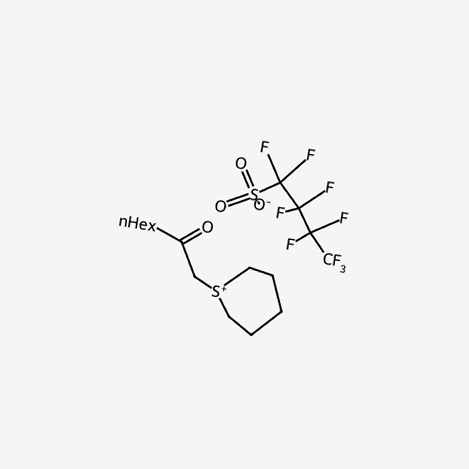 CCCCCCC(=O)C[S+]1CCCCC1.O=S(=O)([O-])C(F)(F)C(F)(F)C(F)(F)C(F)(F)F